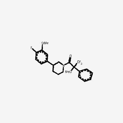 COc1cc(C2CCCN(C(=O)C(OC)(c3ccccc3)C(F)(F)F)C2)ccc1F